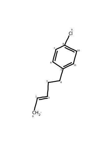 [CH2]/C=C/CCc1ccc(Cl)cc1